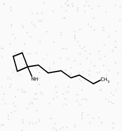 CCCCCCCC1([NH])CCC1